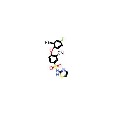 CCc1cc(F)ccc1Oc1ccc(S(=O)(=O)Nc2nccs2)cc1C#N